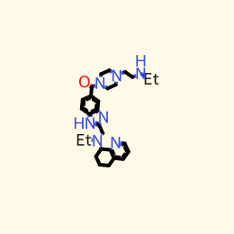 CCNCCN1CCN(C(=O)c2ccc3[nH]c(CN(CC)C4CCCc5cccnc54)nc3c2)CC1